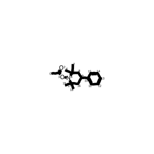 CC(=O)ON1C(C)(C)CC(c2ccccc2)CC1(C)C